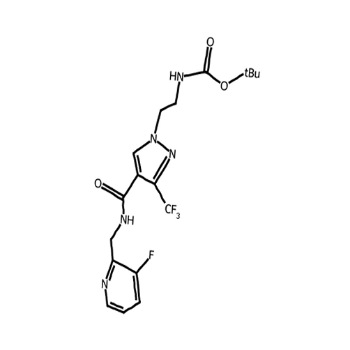 CC(C)(C)OC(=O)NCCn1cc(C(=O)NCc2ncccc2F)c(C(F)(F)F)n1